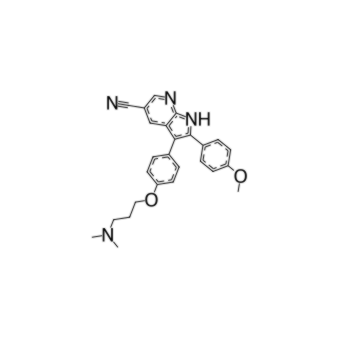 COc1ccc(-c2[nH]c3ncc(C#N)cc3c2-c2ccc(OCCCN(C)C)cc2)cc1